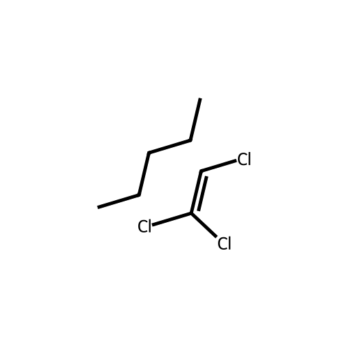 CCCCC.ClC=C(Cl)Cl